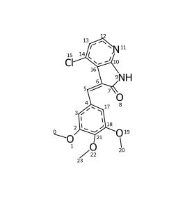 COc1cc(C=C2C(=O)Nc3nccc(Cl)c32)cc(OC)c1OC